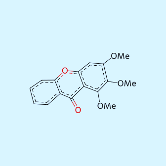 COc1cc2oc3ccccc3c(=O)c2c(OC)c1OC